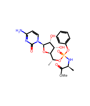 COC(=O)[C@H](C)NP(=O)(Oc1ccccc1)O[C@H](C)[C@H]1O[C@@H](n2ccc(N)nc2=O)[C@H](O)[C@@H]1O